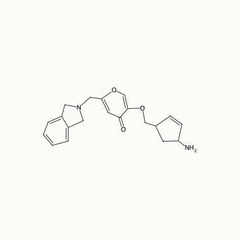 NC1C=CC(COc2coc(CN3Cc4ccccc4C3)cc2=O)C1